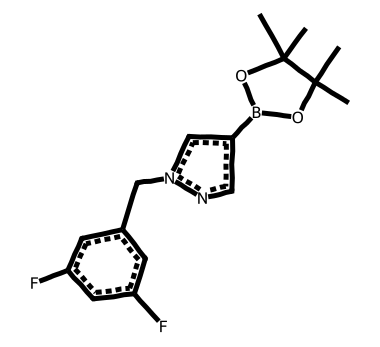 CC1(C)OB(c2cnn(Cc3cc(F)cc(F)c3)c2)OC1(C)C